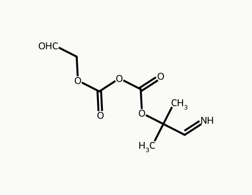 CC(C)(C=N)OC(=O)OC(=O)OCC=O